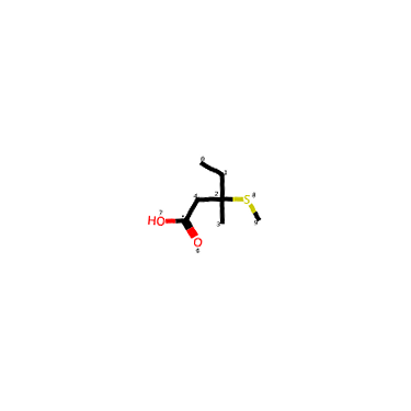 CCC(C)(CC(=O)O)SC